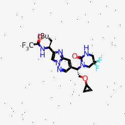 CC(C)(C)C[C@H](NC(=O)C(F)(F)F)c1cn2ncc([C@@H](COC3CC3)N3CC(F)(F)CNC3=O)cc2n1